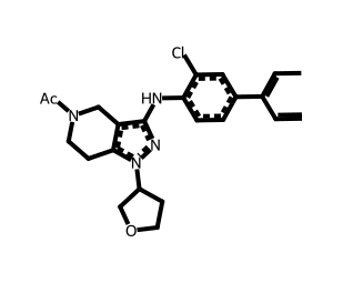 C=C/C(=C\C)c1ccc(Nc2nn(C3CCOC3)c3c2CN(C(C)=O)CC3)c(Cl)c1